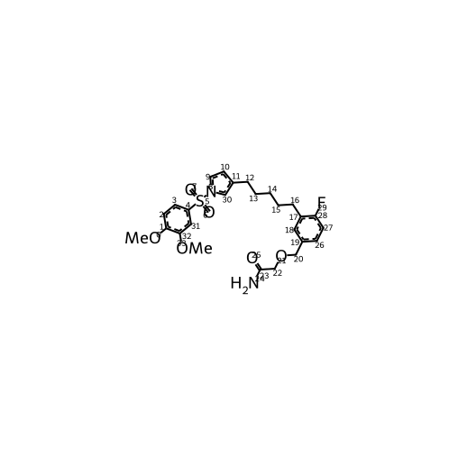 COc1ccc(S(=O)(=O)n2ccc(CCCCCc3cc(COCC(N)=O)ccc3F)c2)cc1OC